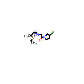 C=CSC(=C)/C=C\NCC(=O)N1CCC(F)C1